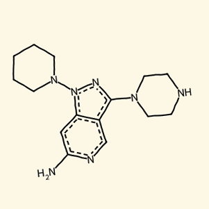 Nc1cc2c(cn1)c(N1CCNCC1)nn2N1CCCCC1